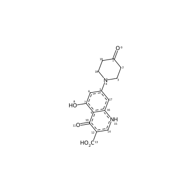 O=C1CCN(c2cc(O)c3c(=O)c(C(=O)O)c[nH]c3c2)CC1